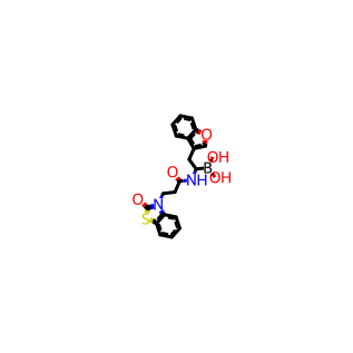 O=C(CCn1c(=O)sc2ccccc21)NC(Cc1coc2ccccc12)B(O)O